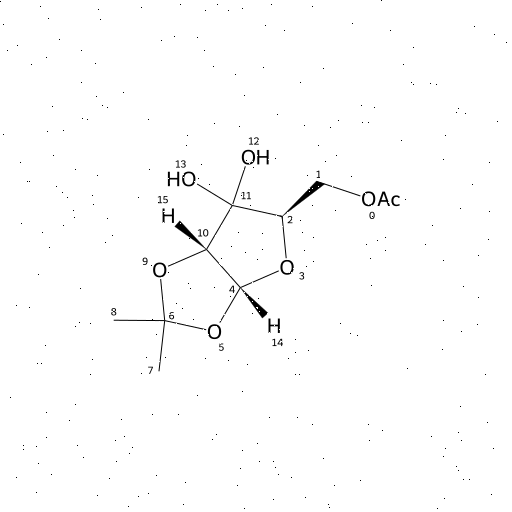 CC(=O)OC[C@H]1O[C@@H]2OC(C)(C)O[C@@H]2C1(O)O